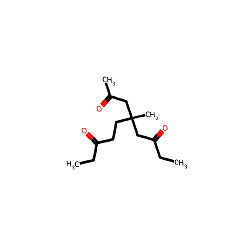 [CH2]C(CCC(=O)CC)(CC(C)=O)CC(=O)CC